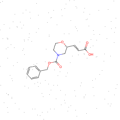 O=C(O)/C=C/C1CN(C(=O)OCc2ccccc2)CCO1